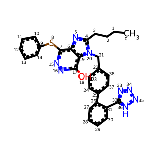 CCCCc1nc2c(Sc3ccccc3)nnc(O)c2n1Cc1ccc(-c2ccccc2-c2nnn[nH]2)cc1